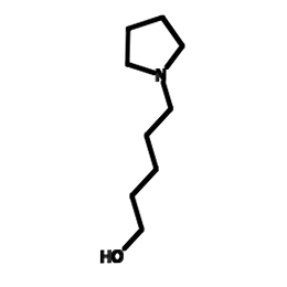 OCCCCCN1CCCC1